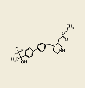 CCOC(=O)CC1CNCCN1Cc1ccc(-c2ccc(C(C)(O)C(F)(F)F)cc2)cc1